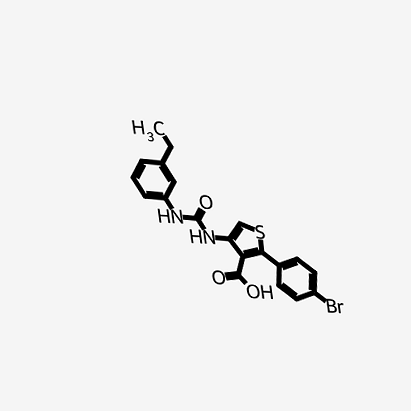 CCc1cccc(NC(=O)Nc2csc(-c3ccc(Br)cc3)c2C(=O)O)c1